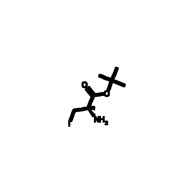 CC(C)(C)OC(=O)[C@@H](N)CI